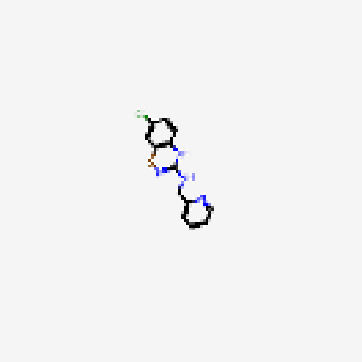 Clc1ccc2c(c1)SN=C(NCc1ccccn1)N2